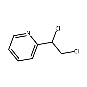 ClCC(Cl)c1ccccn1